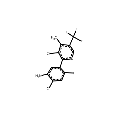 Cc1c(C(F)(F)F)cnc(-c2cc(N)c(Cl)cc2F)c1Cl